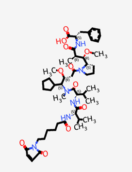 CO[C@H]([C@@H](C)C(=O)N[C@@H](Cc1ccccc1)C(=O)O)[C@@H]1CCCN1C(=O)C[C@@H](OC)[C@H](C1CCCC1)N(C)C(=O)[C@@H](NC(=O)[C@@H](NC(=O)CCCCCN1C(=O)C=CC1=O)C(C)C)C(C)C